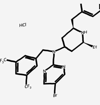 CC[C@H]1CC(N(Cc2cc(C(F)(F)F)cc(C(F)(F)F)c2)c2ncc(Br)cn2)C[C@@H](Cc2ccccc2)N1.Cl